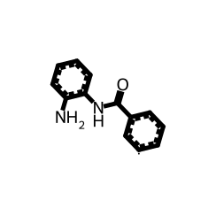 Nc1ccccc1NC(=O)c1c[c]ccc1